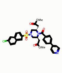 COC(=O)C[C@H]1CN(S(=O)(=O)c2ccc3cc(Cl)ccc3c2)C[C@H](CC(=O)OC)N1C(=O)c1ccc(-c2ccncc2)cc1